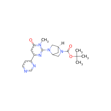 Cn1c(N2C[C@@H]3CC2CN3C(=O)OC(C)(C)C)nc(-c2ccncn2)cc1=O